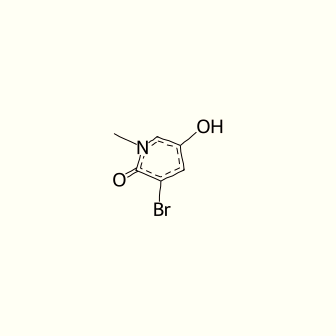 Cn1cc(O)cc(Br)c1=O